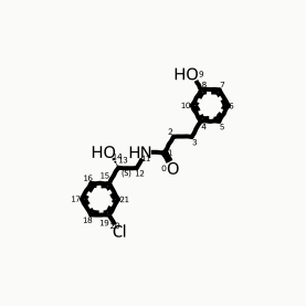 O=C(CCc1cccc(O)c1)NC[C@@H](O)c1cccc(Cl)c1